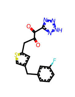 O=C(Cc1cc(Cc2cccc(F)c2)cs1)C(=O)c1nn[nH]n1